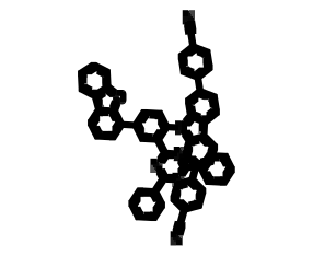 N#Cc1ccc(-c2ccc3c4ccc(-c5ccc(C#N)cc5)cc4n(-c4ccc(-c5cccc6c5oc5ccccc56)cc4-c4nc(-c5ccccc5)nc(-c5ccccc5)n4)c3c2)cc1